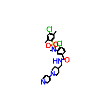 Cc1cc(S(=O)(=O)N(C)c2cc(C(=O)NCC3CCN(c4ccncc4)CC3)ccc2Cl)c(C)cc1Cl